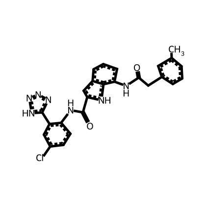 Cc1cccc(CC(=O)Nc2cccc3cc(C(=O)Nc4ccc(Cl)cc4-c4nnn[nH]4)[nH]c23)c1